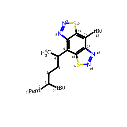 CCCCCC(CCC(C)c1c2nnsc2c(C(C)(C)C)c2nnsc12)C(C)(C)C